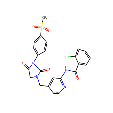 O=C(Nc1cc(CN2CC(=O)N(c3ccc(S(=O)(=O)C(F)(F)F)cc3)C2=O)ccn1)c1ccccc1Cl